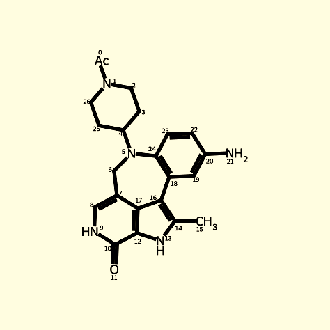 CC(=O)N1CCC(N2Cc3c[nH]c(=O)c4[nH]c(C)c(c34)-c3cc(N)ccc32)CC1